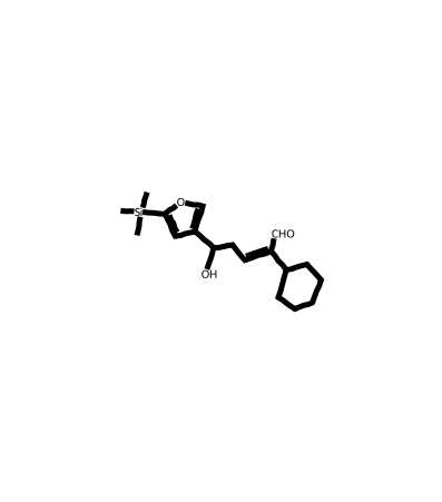 C[Si](C)(C)c1cc(C(O)CC=C(C=O)C2CCCCC2)co1